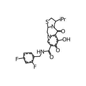 CC(C)C1CSC2Cn3cc(C(=O)NCc4ccc(F)cc4F)c(=O)c(O)c3C(=O)N21